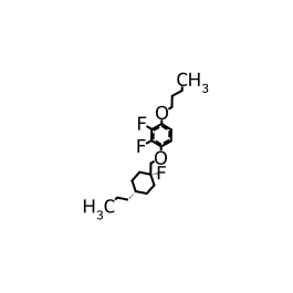 CCCCOc1ccc(OC[C@]2(F)CC[C@@H](CCC)CC2)c(F)c1F